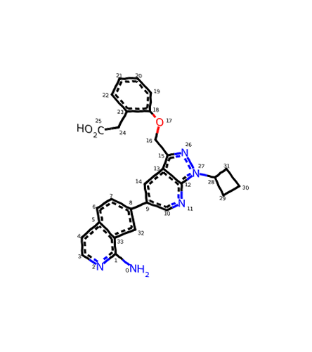 Nc1nccc2ccc(-c3cnc4c(c3)c(COc3ccccc3CC(=O)O)nn4C3CCC3)cc12